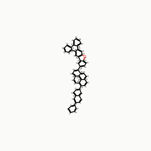 c1ccc(-c2ccc3cc(-c4ccc5ccc6c(-c7ccc8oc9cc%10c%11ccccc%11c%11ccccc%11c%10cc9c8c7)ccc7ccc4c5c76)ccc3c2)cc1